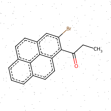 CCC(=O)c1c(Br)cc2ccc3cccc4ccc1c2c34